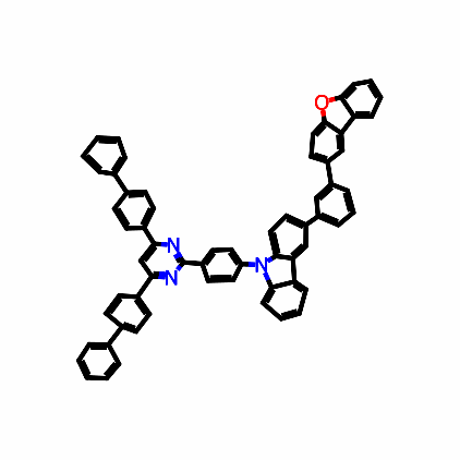 c1ccc(-c2ccc(-c3cc(-c4ccc(-c5ccccc5)cc4)nc(-c4ccc(-n5c6ccccc6c6cc(-c7cccc(-c8ccc9oc%10ccccc%10c9c8)c7)ccc65)cc4)n3)cc2)cc1